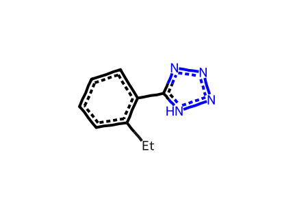 [CH2]Cc1ccccc1-c1nnn[nH]1